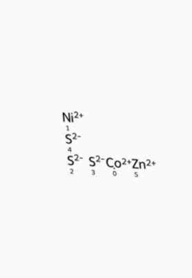 [Co+2].[Ni+2].[S-2].[S-2].[S-2].[Zn+2]